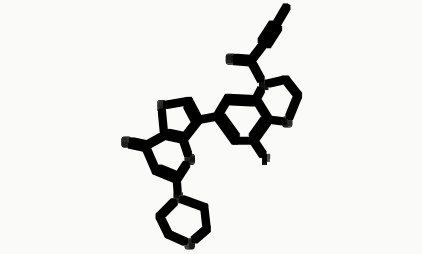 CC#CC(=O)N1CCOc2c(F)cc(-c3csc4c(=O)cc(N5CCOCC5)oc34)cc21